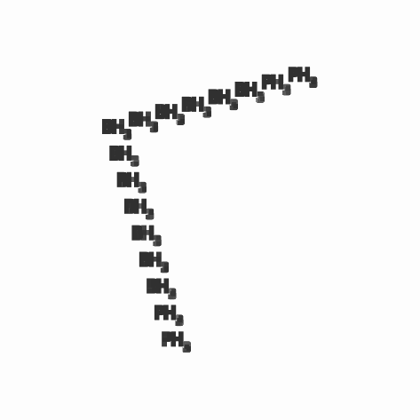 B.B.B.B.B.B.B.B.B.B.B.B.P.P.P.P